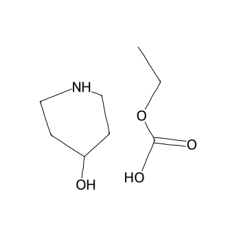 CCOC(=O)O.OC1CCNCC1